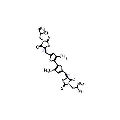 CCCCC(CC)CN1C(=O)/C(=C/c2cc(C)c(-c3sc(/C=C4\SC(=S)N(CC(CC)CCCC)C4=O)cc3C)s2)SC1=S